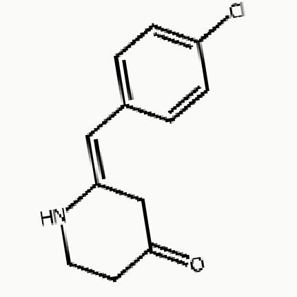 O=C1CCNC(=Cc2ccc(Cl)cc2)C1